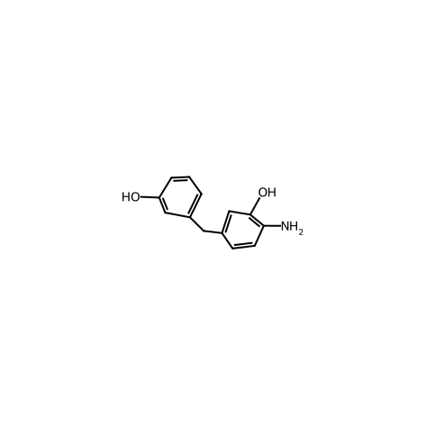 Nc1ccc(Cc2cccc(O)c2)cc1O